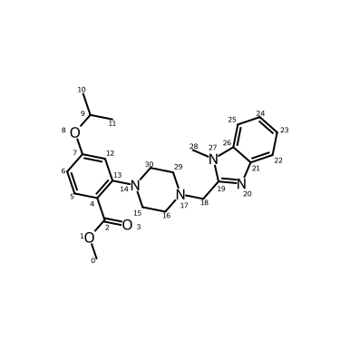 COC(=O)c1ccc(OC(C)C)cc1N1CCN(Cc2nc3ccccc3n2C)CC1